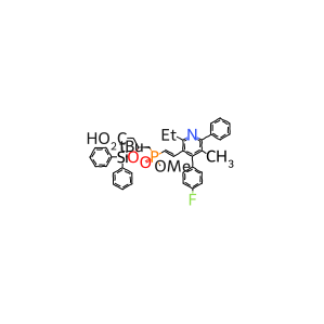 CCc1nc(-c2ccccc2)c(C)c(-c2ccc(F)cc2)c1C=CP(=O)(C[C@H](CC(=O)O)O[Si](c1ccccc1)(c1ccccc1)C(C)(C)C)OC